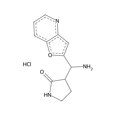 Cl.NC(c1cc2ncccc2o1)C1CCNC1=O